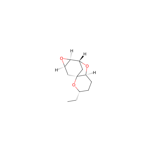 CC[C@H]1CC[C@@H]2O[C@@H]3C[C@]2(C[C@H]2O[C@H]23)O1